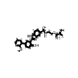 COc1ncccc1-c1ccc(O)c(-c2nc3cc(C(=O)NCCOC(=N)C(C)=N)ccc3[nH]2)c1